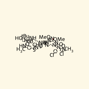 COc1ncc(-c2nc3c(n2CCCn2cc(C(=O)NCCCCC(=O)N[C@H](C(=O)N4C[C@H](O)C[C@H]4C(=O)N[C@@H](C)c4ccc(-c5scnc5C)cc4)C(C)(C)C)nn2)[C@@H](c2ccc(Cl)cc2)N(c2cc(Cl)cn(C)c2=O)C3=O)c(OC)n1